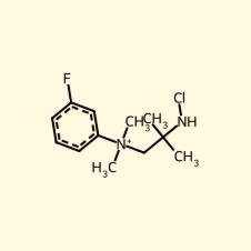 CC(C)(C[N+](C)(C)c1cccc(F)c1)NCl